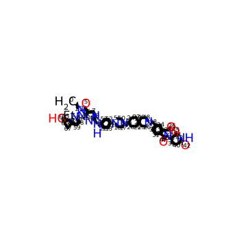 C=CCn1c(=O)c2cnc(Nc3ccc(N4CCN(C5CCC6(CC5)CCN(Cc5ccc7c(c5)C(=O)N(C5CCC(=O)NC5=O)C7=O)CC6)CC4)cc3)nc2n1-c1ccc2c(n1)[C@@](O)(CC)CC2